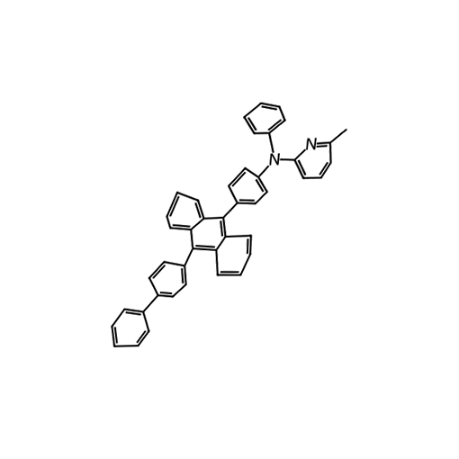 Cc1cccc(N(c2ccccc2)c2ccc(-c3c4ccccc4c(-c4ccc(-c5ccccc5)cc4)c4ccccc34)cc2)n1